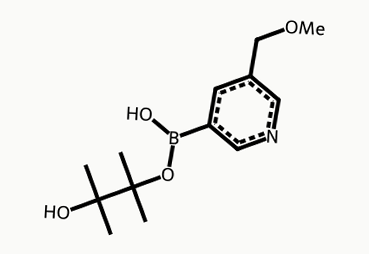 COCc1cncc(B(O)OC(C)(C)C(C)(C)O)c1